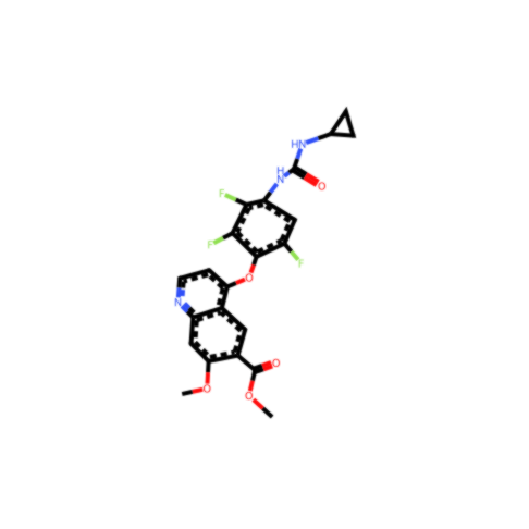 COC(=O)c1cc2c(Oc3c(F)cc(NC(=O)NC4CC4)c(F)c3F)ccnc2cc1OC